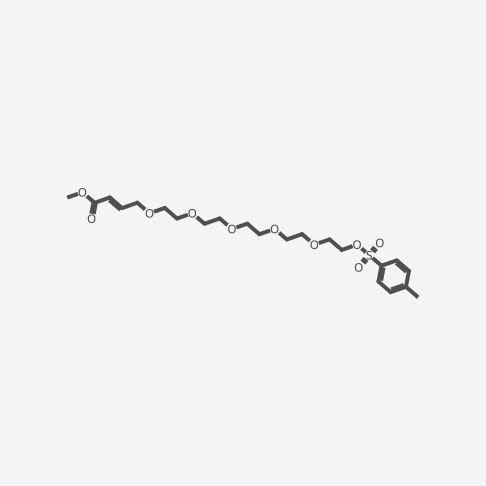 COC(=O)/C=C/COCCOCCOCCOCCOCCOS(=O)(=O)c1ccc(C)cc1